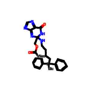 CCCCCCCCCC(=O)OCC1(NCCCC[Si](c2ccccc2)(c2ccccc2)C(C)(C)C)N=C2N=CN=C2C(=O)N1